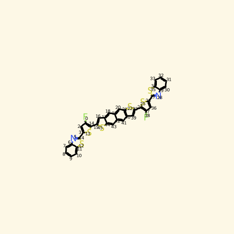 Fc1cc(-c2nc3ccccc3s2)sc1-c1cc2cc3cc4sc(-c5sc(-c6nc7ccccc7s6)cc5F)cc4cc3cc2s1